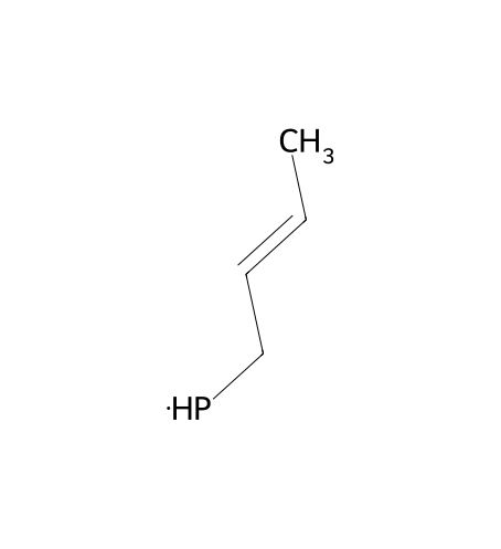 CC=CC[PH]